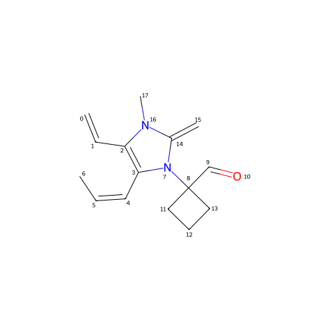 C=CC1=C(/C=C\C)N(C2(C=O)CCC2)C(=C)N1C